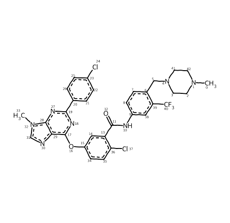 CN1CCN(Cc2ccc(NC(=O)c3cc(Oc4nc(-c5ccc(Cl)cc5)nc5c4ncn5C)ccc3Cl)cc2C(F)(F)F)CC1